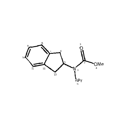 CCCN(C(=O)OC)C1Cc2ccccc2C1